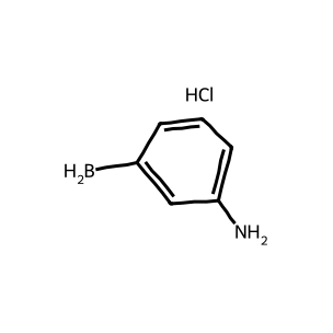 Bc1cccc(N)c1.Cl